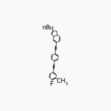 CCCCC1=CC2C=C(C#Cc3ccc(C#Cc4ccc(F)c(C)c4)cc3)C=CC2C1